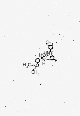 CCCC(CCC)Oc1cccc(C(=O)NC(Cc2cc(F)cc(F)c2)C(O)CNCc2cccc(CC)c2)c1